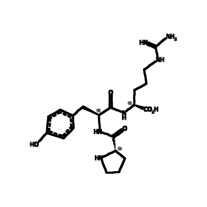 N=C(N)NCCC[C@H](NC(=O)[C@H](Cc1ccc(O)cc1)NC(=O)[C@@H]1CCCN1)C(=O)O